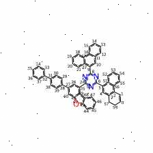 C1=Cc2c(cc(-c3nc(-c4cc5ccccc5c5ccccc45)nc(-c4cc(-c5ccc(-c6ccccc6)cc5)cc5oc6ccccc6c45)n3)c3ccccc23)CC1